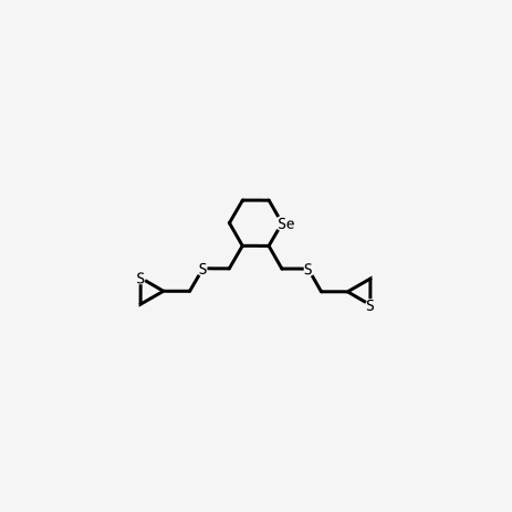 C1C[Se]C(CSCC2CS2)C(CSCC2CS2)C1